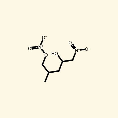 CC(CO[N+](=O)[O-])CC(O)C[N+](=O)[O-]